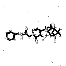 C[C@@H]1[C@H]2C[C@@H](C[C@H]1Nc1cnn(CC(=O)NNc3ccncc3)c(=O)c1Br)C2(C)C